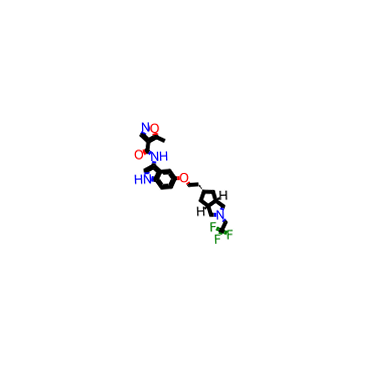 Cc1oncc1C(=O)Nc1c[nH]c2ccc(OCC[C@@H]3C[C@@H]4CN(CC(F)(F)F)C[C@@H]4C3)cc12